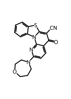 N#Cc1c(=O)c2ccc(N3CCCOCC3)nc2n2c1sc1ccccc12